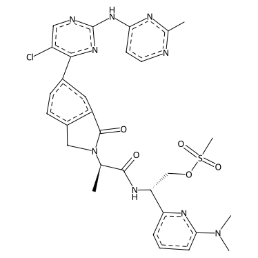 Cc1nccc(Nc2ncc(Cl)c(-c3ccc4c(c3)C(=O)N([C@H](C)C(=O)N[C@H](COS(C)(=O)=O)c3cccc(N(C)C)n3)C4)n2)n1